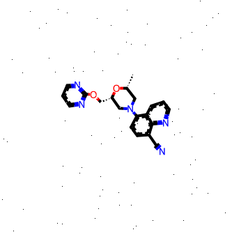 C[C@@H]1CN(c2ccc(C#N)c3ncccc23)C[C@H](COc2ncccn2)O1